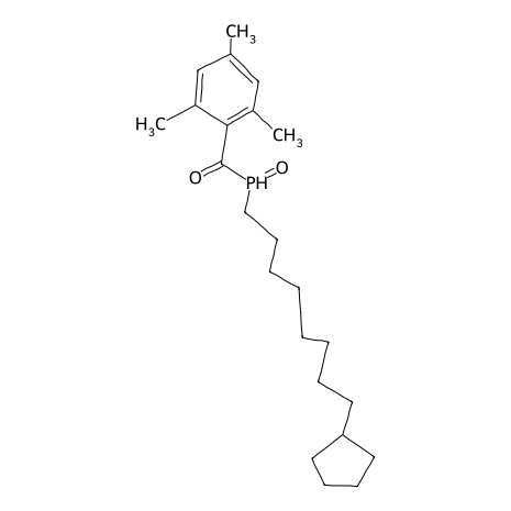 Cc1cc(C)c(C(=O)[PH](=O)CCCCCCCCC2CCCC2)c(C)c1